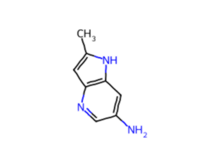 Cc1cc2ncc(N)cc2[nH]1